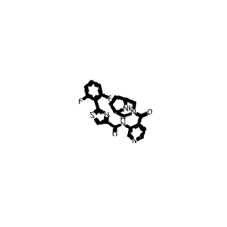 O=C(Nc1cnccc1C(=O)N1CC2CCC(C1)N2)c1csc(-c2c(F)cccc2F)n1